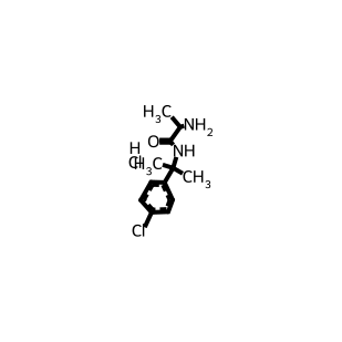 CC(N)C(=O)NC(C)(C)c1ccc(Cl)cc1.Cl